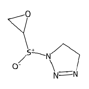 [O-][S+](C1CO1)N1CCN=N1